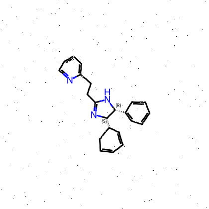 C1=CCC([C@@H]2N=C(CCc3ccccn3)N[C@@H]2c2ccccc2)C=C1